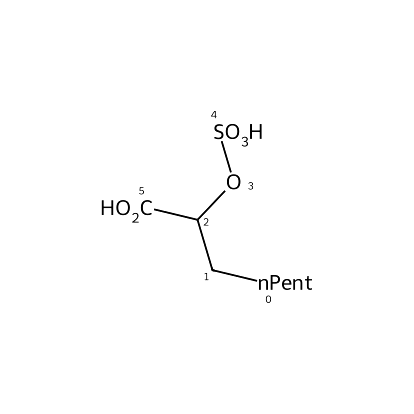 CCCCCCC(OS(=O)(=O)O)C(=O)O